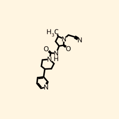 CC1CC(NC(=O)N2CCC(c3cccnc3)CC2)C(=O)N1CC#N